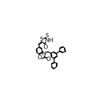 O=C1NC(=S)SC1=Cc1ccc2c(c1)N(Cc1cc(-c3ccccc3)cc(-c3ccccc3)c1)C(=O)CO2